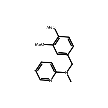 COc1ccc(CN(C)c2cc[c]cn2)cc1OC